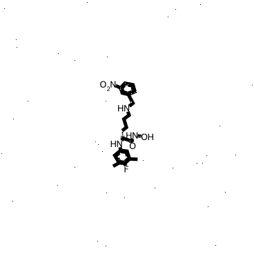 Cc1cc(N[C@H](CCCCNCc2cccc([N+](=O)[O-])c2)C(=O)NO)cc(C)c1F